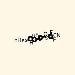 CCCCCC[C@H]1CC[C@@H]2CC(c3ccc(C(=O)Oc4cc(F)c(C#N)c(F)c4)cc3F)CC[C@H]2C1